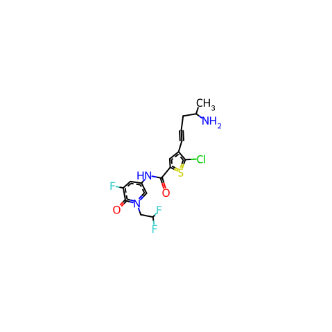 CC(N)CC#Cc1cc(C(=O)Nc2cc(F)c(=O)n(CC(F)F)c2)sc1Cl